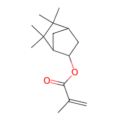 C=C(C)C(=O)OC1CC2CC1C(C)(C)C2(C)C